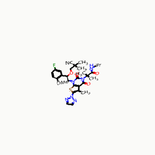 COc1ccc(F)cc1[C@H](Cn1c(=O)n(C(C)(C)C(=O)NC(C)C)c(=O)c2c(C)c(-n3nccn3)sc21)OCC(C)(C)C#N